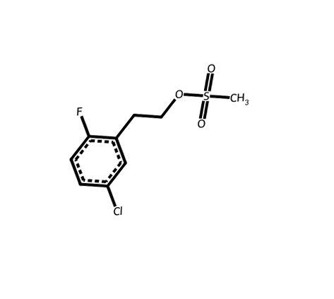 CS(=O)(=O)OCCc1cc(Cl)ccc1F